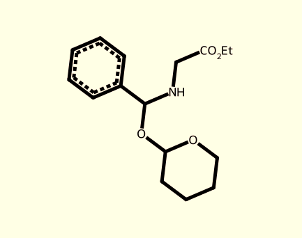 CCOC(=O)CNC(OC1CCCCO1)c1ccccc1